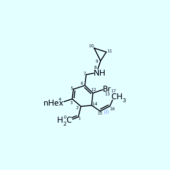 C=CC1C(CCCCCC)=CC(CNC2CC2)=C(Br)C1/C=C\C